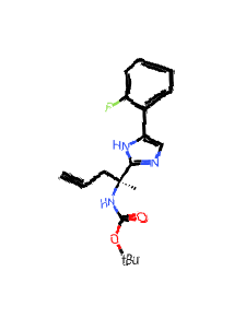 C=CC[C@](C)(NC(=O)OC(C)(C)C)c1ncc(-c2ccccc2F)[nH]1